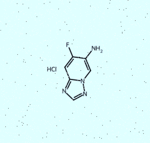 Cl.Nc1cn2ncnc2cc1F